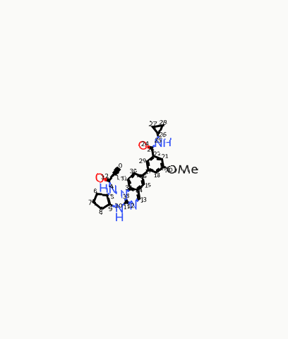 C#CC(=O)NC1CCCC1Nc1ncc2cc(-c3cc(OC)cc(C(=O)NC4CC4)c3)ccc2n1